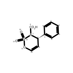 O=C(O)N1[C@H](c2ccccc2)C=COS1(=O)=O